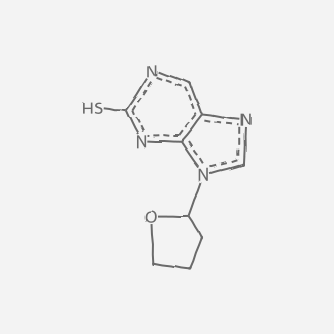 Sc1ncc2ncn(C3CCCO3)c2n1